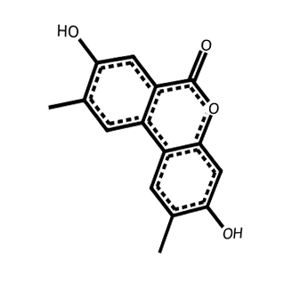 Cc1cc2c(cc1O)oc(=O)c1cc(O)c(C)cc12